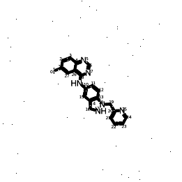 Ic1ccc2ncnc(Nc3ccc4c(c3)CNN4Cc3ccccn3)c2c1